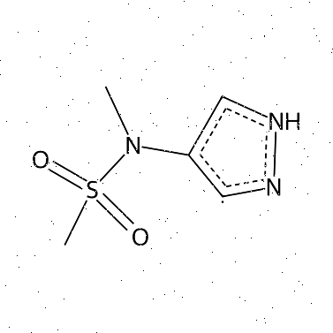 CN(c1[c]n[nH]c1)S(C)(=O)=O